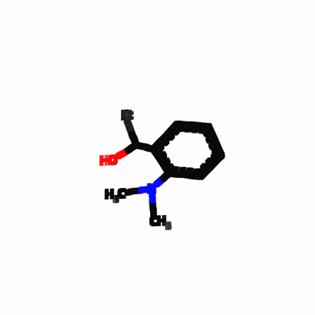 CCC(O)c1ccccc1N(C)C